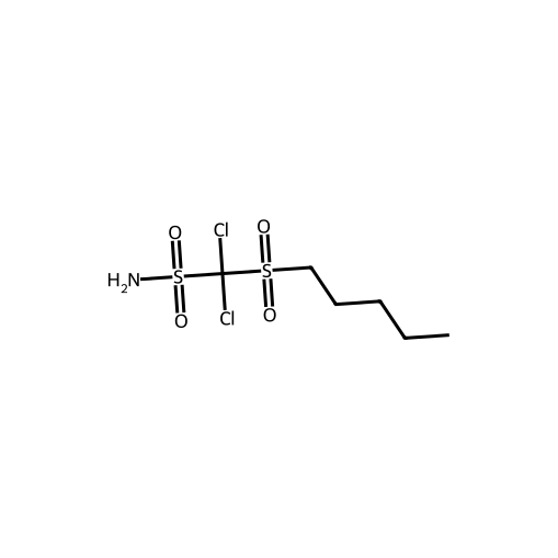 CCCCCS(=O)(=O)C(Cl)(Cl)S(N)(=O)=O